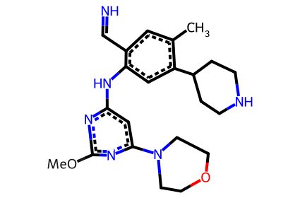 COc1nc(Nc2cc(C3CCNCC3)c(C)cc2C=N)cc(N2CCOCC2)n1